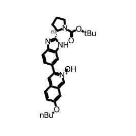 CCCCOc1ccc2cc(-c3ccc4nc([C@@H]5CCCN5C(=O)OC(C)(C)C)[nH]c4c3)[n+](O)cc2c1